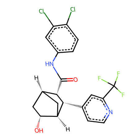 O=C(Nc1ccc(Cl)c(Cl)c1)[C@H]1[C@H]2C[C@@H]([C@H]1c1ccnc(C(F)(F)F)c1)[C@H](O)C2